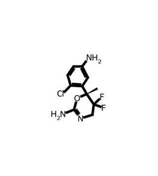 C[C@]1(c2cc(N)ccc2Cl)OC(N)=NCC1(F)F